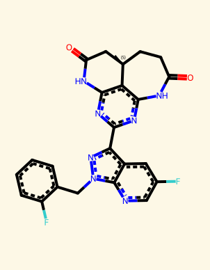 C[C@@]12CCC(=O)Nc3nc(-c4nn(Cc5ccccc5F)c5ncc(F)cc45)nc(c31)NC(=O)C2